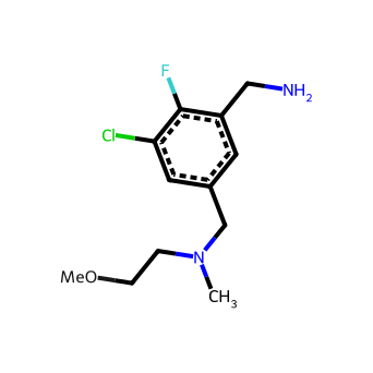 COCCN(C)Cc1cc(Cl)c(F)c(CN)c1